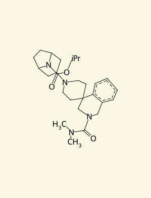 CC(C)OC(=O)N1C2CCC1CC(N1CCC3(CC1)CN(C(=O)N(C)C)Cc1ccccc13)C2